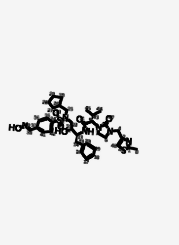 Cc1nc(CN2CCN([C@H](C(=O)N[C@@H](Cc3ccccc3)[C@H](O)CN(CC3CCCC3)S(=O)(=O)c3ccc(/C=N/O)cc3)C(C)C)C2=O)cs1